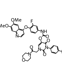 COc1cc2nccc(Oc3ccc(NC(=O)Oc4cn(CC(=O)N5CCOCC5)c(=O)n(-c5ccc(F)cc5)c4=O)cc3F)c2cc1OC